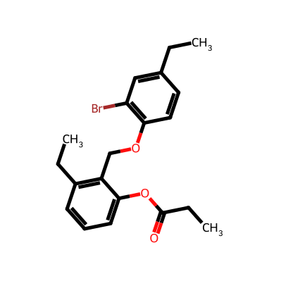 CCC(=O)Oc1cccc(CC)c1COc1ccc(CC)cc1Br